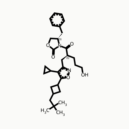 CC(C)(C)CC1CC(c2onc(C[C@H](CCCO)C(=O)N3C(=O)OC[C@@H]3Cc3ccccc3)c2C2CC2)C1